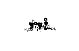 COCCCn1ccc2nc(Nc3snc(C)c3C3CN([C@H]4CC[C@H](Nc5nc(Nc6cc(C)ns6)nc6ccsc56)CC4)CCO3)nc(N[C@H]3CC[C@H](N4CCCCC4)CC3)c21